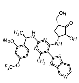 COc1cc(OC(F)(F)F)ccc1[C@@H](C)Nc1nc(C)c(-c2nc3cnccc3s2)c(N[C@@H]2C[C@H](CO)C(=O)[C@H]2O)n1